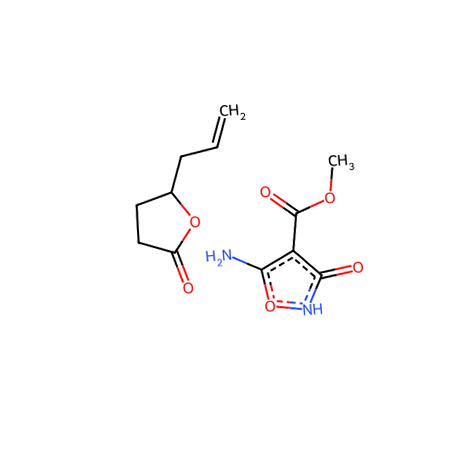 C=CCC1CCC(=O)O1.COC(=O)c1c(N)o[nH]c1=O